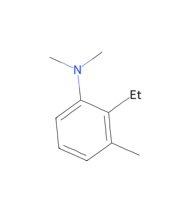 CCc1c(C)cccc1N(C)C